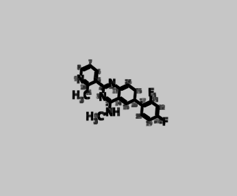 CNc1nc(-c2cccnc2C)nc2c1=CC(c1ccc(F)cc1F)CC=2